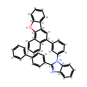 c1ccc(-c2ccc(-c3nc4ccccc4n3-c3cccc(-c4cc5c6ccccc6oc5c5ccccc45)c3)cc2)cc1